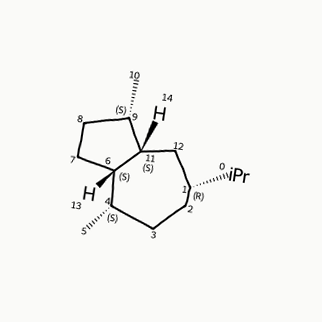 CC(C)[C@@H]1CC[C@H](C)[C@@H]2CC[C@H](C)[C@@H]2C1